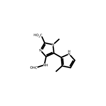 Cc1cc[nH]c1-c1c(NC=O)nc(C(=O)O)n1C